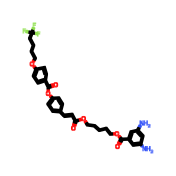 Nc1cc(N)cc(C(=O)OCCCCCOC(=O)C=Cc2ccc(OC(=O)c3ccc(OCCCCC(F)(F)F)cc3)cc2)c1